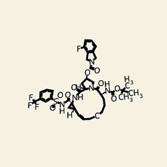 CC(C)(C)OC(=O)N[C@H]1CCCCC/C=C\[C@@H]2C[C@@]2(C(=O)NS(=O)(=O)c2cccc(C(F)(F)F)c2)NC(=O)[C@@H]2C[C@@H](OC(=O)N3Cc4cccc(F)c4C3)CN2C1=O